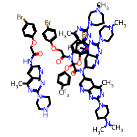 Cc1nc(N2CCC(N(C)C)CC2)nc2ncc(N(C(=O)C(Oc3ccc(Br)cc3)(Oc3ccc(C(F)(F)F)cc3)N(C(=O)COc3ccc(Br)cc3)c3cnc4nc(N5CCCN(C)CC5)nc(C)c4c3)c3cnc4nc(N5CCN(C)CC5)nc(C)c4c3)cc12.Cc1nc(N2CCNCC2)nc2ncc(NC(=O)COc3ccc(Br)cc3)cc12